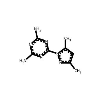 Cc1cc(C)n(-c2nc(N)nc(N)n2)n1